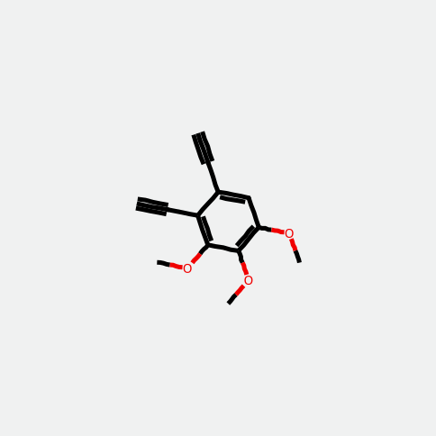 C#Cc1cc(OC)c(OC)c(OC)c1C#C